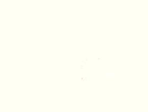 C1CCC(B2CCOO2)CC1